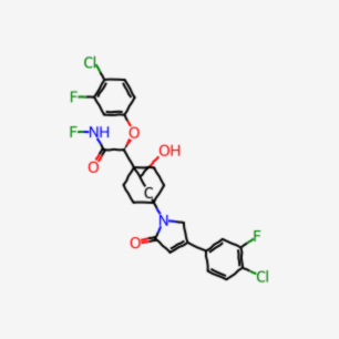 O=C(NF)[C@@H](Oc1ccc(Cl)c(F)c1)C12CCC(N3CC(c4ccc(Cl)c(F)c4)=CC3=O)(CC1)CC2O